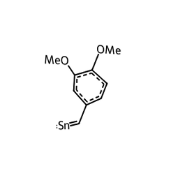 COc1ccc([CH]=[Sn])cc1OC